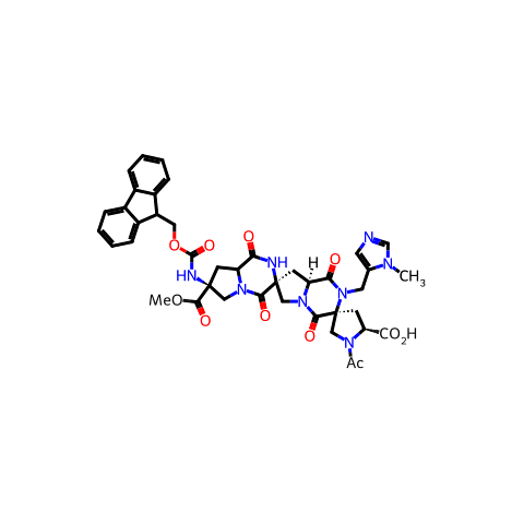 COC(=O)[C@]1(NC(=O)OCC2c3ccccc3-c3ccccc32)CC2C(=O)N[C@]3(C[C@H]4C(=O)N(Cc5cncn5C)[C@]5(C[C@@H](C(=O)O)N(C(C)=O)C5)C(=O)N4C3)C(=O)N2C1